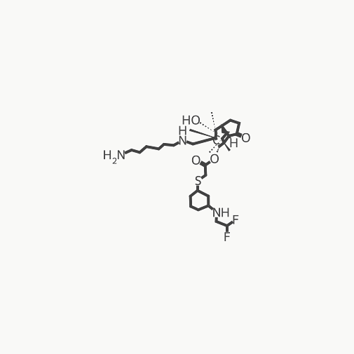 C[C@@H]1CC[C@@]23CCC(=O)[C@H]2[C@]1(C)[C@H](OC(=O)CSC1CCCC(NCC(F)F)C1)C[C@](C)(CNCCCCCCN)[C@@H](O)[C@@H]3C